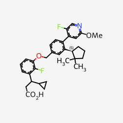 COc1cc(-c2ccc(COc3cccc(C(CC(=O)O)C4CC4)c3F)cc2[C@H]2CCCC2(C)C)c(F)cn1